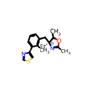 CC[C@@]1(Cc2cccc(-c3cscn3)c2C)N=C(C)OC1C